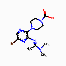 C/C(=N\c1nc(Br)cnc1N1CCN(C(=O)O)CC1)N(C)C